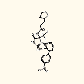 O=C(CCC1CCCC1)NC1(C(F)(F)F)C(=O)Nc2nc3c(-c4ccc([N+](=O)[O-])cc4)cccc3n21